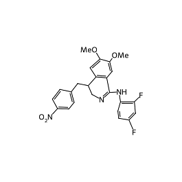 COc1cc2c(cc1OC)C(Cc1ccc([N+](=O)[O-])cc1)CN=C2Nc1ccc(F)cc1F